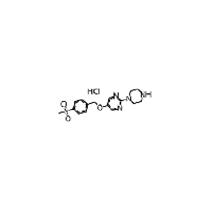 CS(=O)(=O)c1ccc(COc2cnc(N3CCNCC3)nc2)cc1.Cl